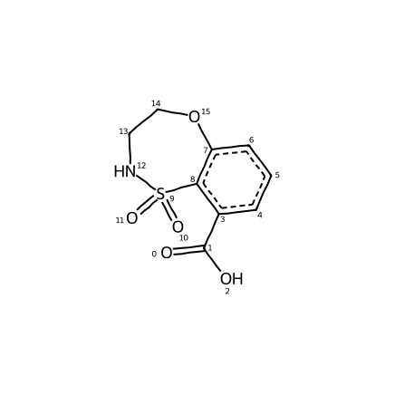 O=C(O)c1cccc2c1S(=O)(=O)NCCO2